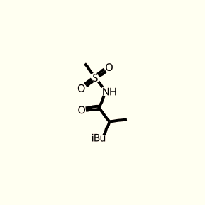 CCC(C)C(C)C(=O)NS(C)(=O)=O